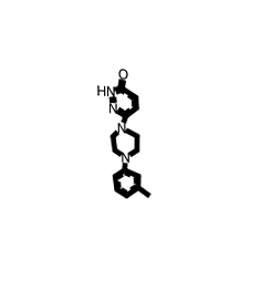 Cc1cccc(N2CCN(c3ccc(=O)[nH]n3)CC2)c1